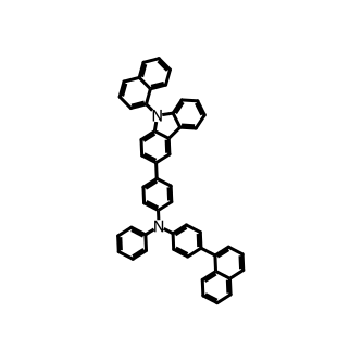 c1ccc(N(c2ccc(-c3ccc4c(c3)c3ccccc3n4-c3cccc4ccccc34)cc2)c2ccc(-c3cccc4ccccc34)cc2)cc1